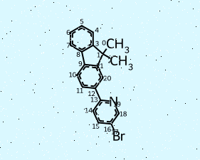 CC1(C)c2ccccc2-c2ccc(-c3ccc(Br)cn3)cc21